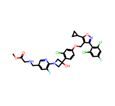 COC(=O)CNCc1cnc(N2CC(O)(c3ccc(OCc4c(-c5c(Cl)cc(F)cc5Cl)noc4C4CC4)cc3Cl)C2)c(F)c1